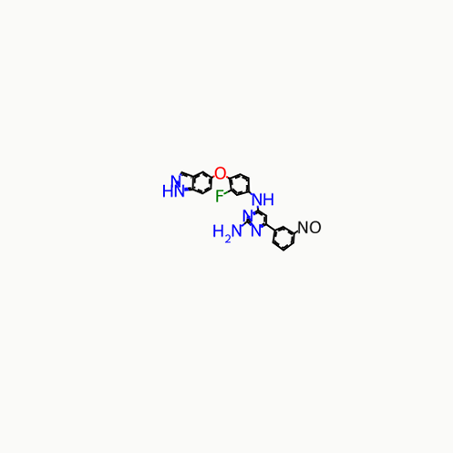 Nc1nc(Nc2ccc(Oc3ccc4[nH]ncc4c3)c(F)c2)cc(-c2cccc(N=O)c2)n1